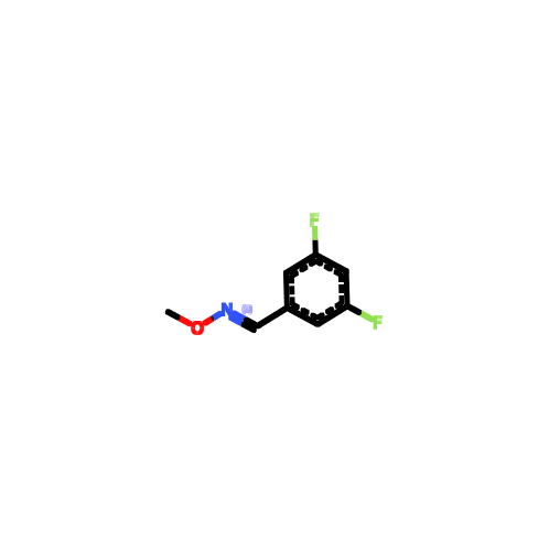 CO/N=C/c1cc(F)cc(F)c1